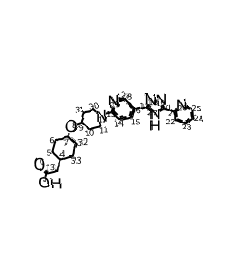 O=C(O)C[C@H]1CC[C@H](OC2CCN(c3ccc(-c4nnc(-c5ccccn5)[nH]4)cn3)CC2)CC1